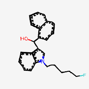 OC(c1cccc2ccccc12)c1cn(CCCCCF)c2ccccc12